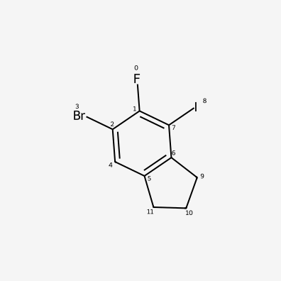 Fc1c(Br)cc2c(c1I)CCC2